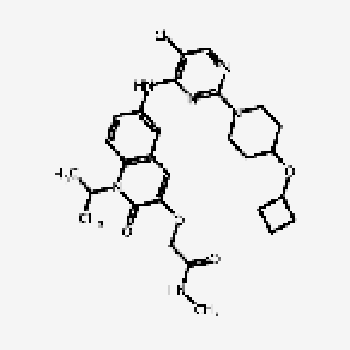 CNC(=O)COc1cc2cc(Nc3nc(N4CCC(OC5CCC5)CC4)ncc3Cl)ccc2n(C(C)C)c1=O